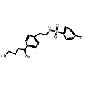 O=S(=O)(NCCc1ccc(C(O)CCCO)cc1)c1ccc(F)cc1